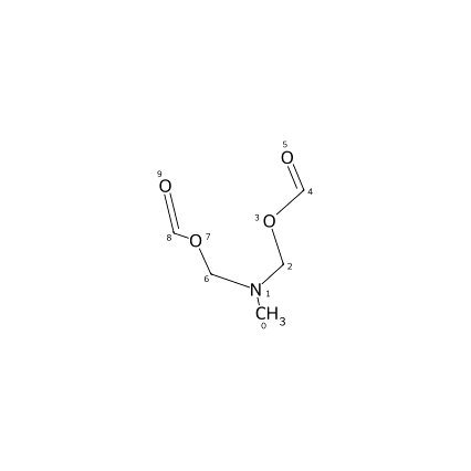 CN(COC=O)COC=O